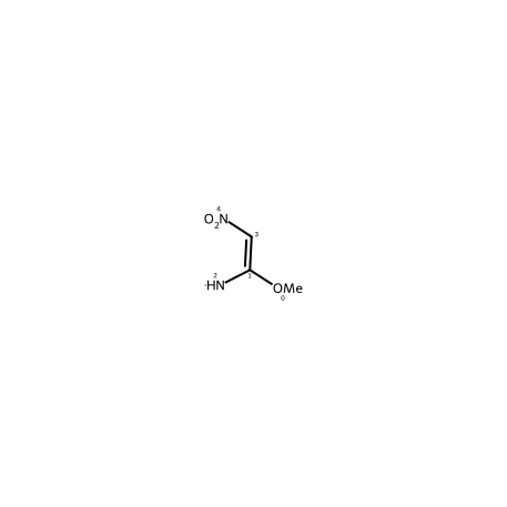 COC([NH])=C[N+](=O)[O-]